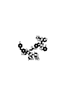 CN[C@@H](C)C(=O)N[C@H](C(=O)N1Cc2ccc(NC(=O)CCN(C(=O)CN3C[C@@H](C)NC[C@@H]3CN3CCOC[C@H]3C)C(=O)[C@]3(C)CNc4cc(Cc5ccc(F)cc5)ccc43)cc2[C@H]1C(=O)Nc1c(F)cccc1F)C1CCOCC1.Cl.Cl.Cl